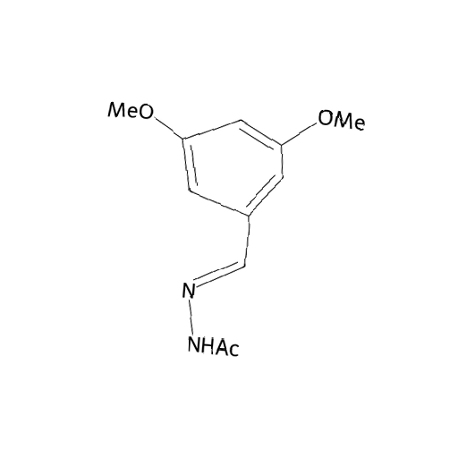 COc1cc(/C=N/NC(C)=O)cc(OC)c1